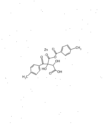 Cc1ccc(C(=O)OC(=O)C(O)(C(=O)c2ccc(C)cc2)C(O)C(=O)O)cc1.[Zn]